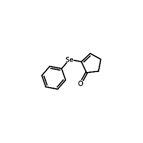 O=C1CCC=C1[Se]c1ccccc1